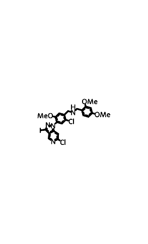 COc1ccc(CNCc2cc(OC)c(-n3nc(I)c4cnc(Cl)cc43)cc2Cl)c(OC)c1